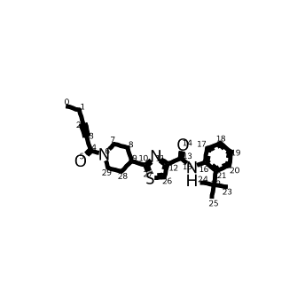 CCC#CC(=O)N1CCC(c2nc(C(=O)Nc3ccccc3C(C)(C)C)cs2)CC1